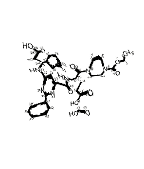 CCOC(=O)N1CCN(C(=O)[C@H](CCC(=O)O)NC(=O)c2cc(N[C@@H](CC(=O)O)c3ccccc3)nc(-c3ccccc3)n2)CC1.O=CO